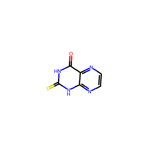 O=c1[nH]c(=S)[nH]c2nccnc12